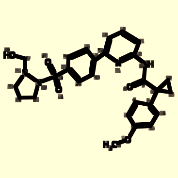 COc1ccc(C2(C(=O)Nc3cccc(-c4ccc(S(=O)(=O)N5CCCN5CO)cc4)n3)CC2)cc1